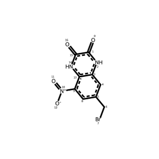 O=c1[nH]c2cc(CBr)cc([N+](=O)[O-])c2[nH]c1=O